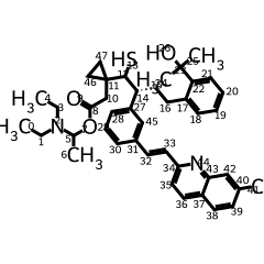 CCN(CC)C(C)OC(=O)CC1(C(S)[C@H](CCc2ccccc2C(C)(C)O)c2cccc(/C=C/c3ccc4ccc(Cl)cc4n3)c2)CC1